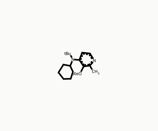 COc1c(N(C2CCCCC2)C(C)(C)C)ccnc1C